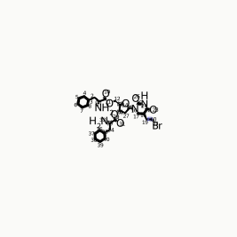 N[C@@H](Cc1ccccc1)C(=O)OC[C@H]1O[C@@H](n2cc(/C=C/Br)c(=O)[nH]c2=O)C[C@@H]1OC(=O)[C@@H](N)Cc1ccccc1